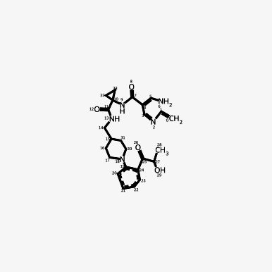 C=C/N=C\C(=C/N)C(=O)NC1(C(=O)NCC2CCN(c3ccccc3C(=O)C(C)O)CC2)CC1